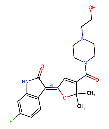 CC1(C)O/C(=C2/C(=O)Nc3cc(F)ccc32)C=C1C(=O)N1CCN(CCO)CC1